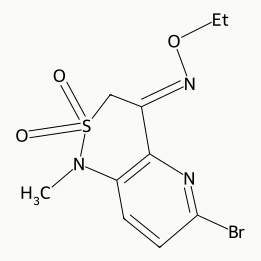 CCON=C1CS(=O)(=O)N(C)c2ccc(Br)nc21